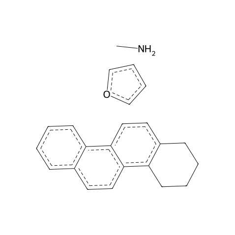 CN.c1ccc2c(c1)ccc1c3c(ccc12)CCCC3.c1ccoc1